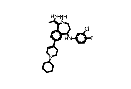 CC1=C2c3ccc(C4=CCN(C5CCCCC5)CC4)cc3C(Nc3ccc(F)c(Cl)c3)CCN2NN1